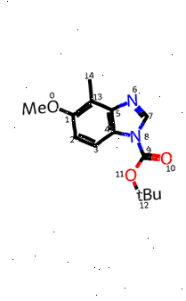 COc1ccc2c(ncn2C(=O)OC(C)(C)C)c1C